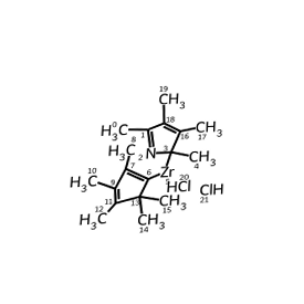 CC1=N[C](C)([Zr][C]2=C(C)C(C)=C(C)C2(C)C)C(C)=C1C.Cl.Cl